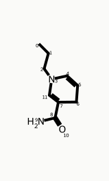 CCCN1C=CCC(C(N)=O)=C1